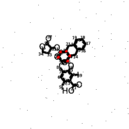 O=C(O)c1c(I)cc(I)c(OC(=O)C2C3c4ccccc4C(c4ccccc43)C2C(=O)OC2CCOC2=O)c1I